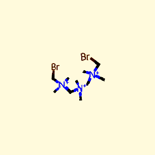 C[N+](C)(CBr)C[N+](C)(C)C[N+](C)(C)CBr